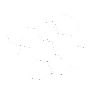 CCC(C)(C)Oc1c(Br)cc2c(c1-c1c3c(cc(Br)c1OC)CCCC3)CCCC2